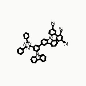 N#Cc1ccc(-c2cc(C#N)ccc2-n2c3ccccc3c3cc(-c4cc(-c5nc(-c6ccccc6)nc(-c6ccccc6)n5)cc(-n5c6ccccc6c6ccccc65)c4)ccc32)c(C#N)c1